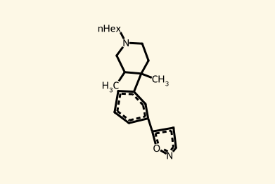 CCCCCCN1CCC(C)(c2cccc(-c3ccno3)c2)C(C)C1